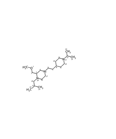 COCC1CN(CCC2CCN(C(C)C)CC2)CCN1CC(C)C